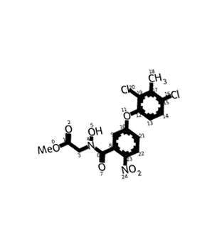 COC(=O)CN(O)C(=O)c1cc(Oc2ccc(Cl)c(C)c2Cl)ccc1[N+](=O)[O-]